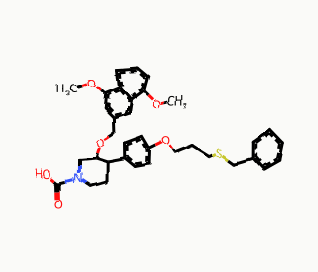 COc1cc(COC2CN(C(=O)O)CCC2c2ccc(OCCCSCc3ccccc3)cc2)cc2c(OC)cccc12